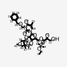 CCOP(C)(=O)C[C@@H](OCC(=O)CO)[C@H]1O[C@@H](n2cc(C)c(=O)n(COCc3ccccc3)c2=O)[C@H](OCCOC)[C@@H]1O[Si](C)(C)C(C)(C)C